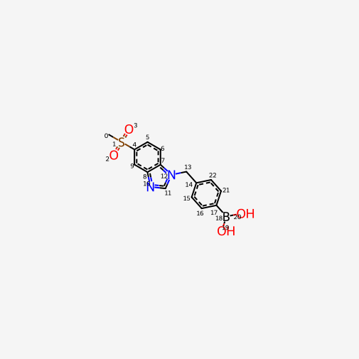 CS(=O)(=O)c1ccc2c(c1)ncn2Cc1ccc(B(O)O)cc1